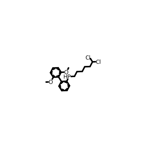 COc1cccc(OC)c1-c1ccccc1PCCCCCC(Cl)Cl